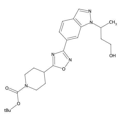 CC(CCO)n1ncc2ccc(-c3noc(C4CCN(C(=O)OC(C)(C)C)CC4)n3)cc21